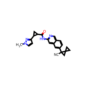 Cn1ccc(C2CC2C(=O)Nc2cc3cc(C4(C#N)CC45CC5)ccc3cn2)n1